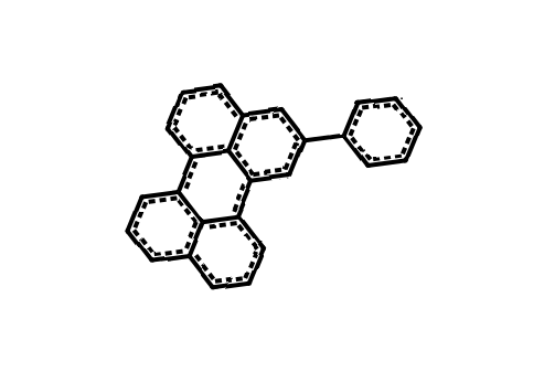 [c]1cccc(-c2cc3cccc4c5cccc6cccc(c(c2)c34)c65)c1